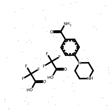 NC(=O)c1ccc(N2CCNCC2)cc1.O=C(O)C(F)(F)F.O=C(O)C(F)(F)F